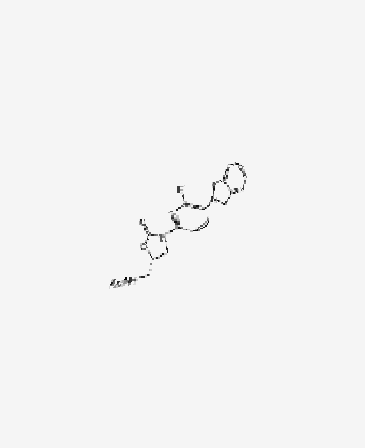 CC(=O)NC[C@H]1CN(c2ccc(N3Cc4ccccc4C3)c(F)c2)C(=O)O1